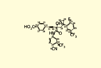 N#Cc1ccc(NC(=O)C(O)(C#Cc2ccc(C(=O)O)cc2)CC2(c3cc(C(F)(F)F)ccc3F)CC2)cc1C(F)(F)F